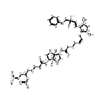 O=C(CCC/C=C\C[C@@H]1[C@@H](/C=C/C(F)(F)COc2ccccc2)[C@H](O)C[C@@H]1O)O[C@@H]1CO[C@H]2[C@@H]1OC[C@H]2OC(=O)CCOCC(CO[N+](=O)[O-])O[N+](=O)[O-]